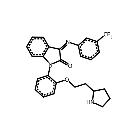 O=C1C(=Nc2cccc(C(F)(F)F)c2)c2ccccc2N1c1ccccc1OCCC1CCCN1